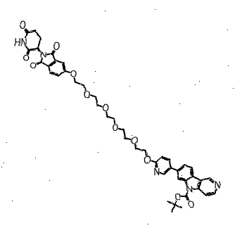 CC(C)(C)OC(=O)n1c2ccncc2c2ccc(-c3ccc(OCCOCCOCCOCCOCCOc4ccc5c(c4)C(=O)N(C4CCC(=O)NC4=O)C5=O)nc3)cc21